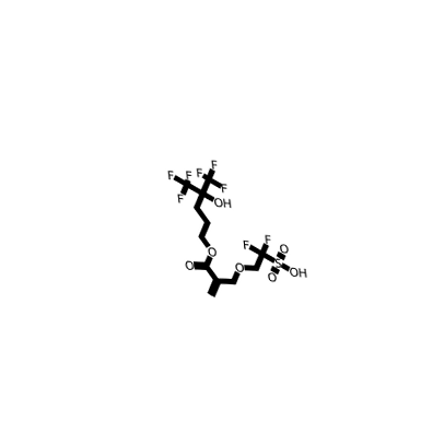 C=C(COCC(F)(F)S(=O)(=O)O)C(=O)OCCCC(O)(C(F)(F)F)C(F)(F)F